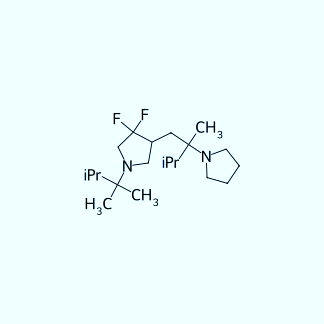 CC(C)C(C)(C)N1CC(CC(C)(C(C)C)N2CCCC2)C(F)(F)C1